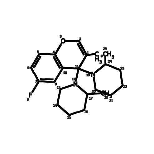 CC1=COc2ccc(F)cc2C1(N1CCCCC1C)N1CCCCC1C